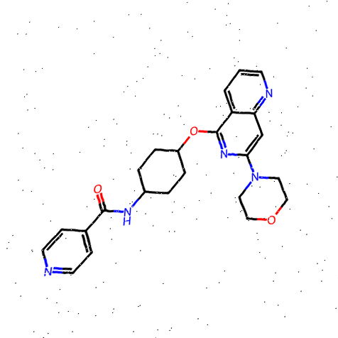 O=C(NC1CCC(Oc2nc(N3CCOCC3)cc3ncccc23)CC1)c1ccncc1